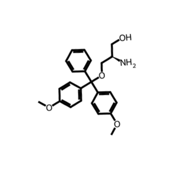 COc1ccc(C(OC[C@H](N)CO)(c2ccccc2)c2ccc(OC)cc2)cc1